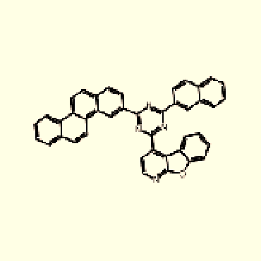 c1ccc2cc(-c3nc(-c4ccc5ccc6c7ccccc7ccc6c5c4)nc(-c4ccnc5oc6ccccc6c45)n3)ccc2c1